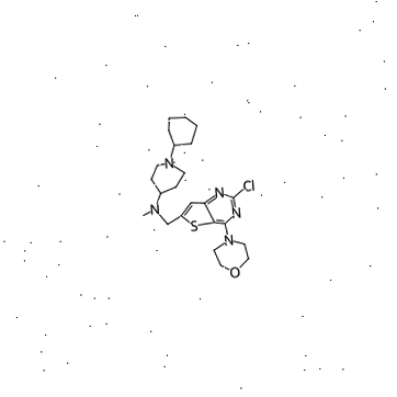 CN(Cc1cc2nc(Cl)nc(N3CCOCC3)c2s1)C1CCN(C2CCCCC2)CC1